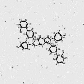 Cc1ccc(-c2cc3cc4c(cc(-c5ccc(C)cc5)n4-c4ccc(-c5ccccc5C)cc4)cc3n2C2=CCC(c3ccccc3C)C=C2)cc1